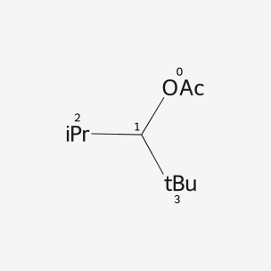 CC(=O)OC(C(C)C)C(C)(C)C